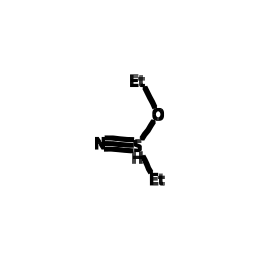 CCO[SH](#N)CC